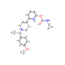 O=C(NC1CC1)Oc1cccc(C2=CCN(C(c3ccc(OC(F)(F)F)cc3)C(F)(F)F)CC2)n1